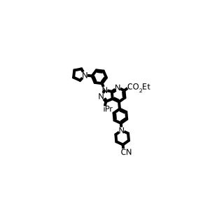 CCOC(=O)c1cc(-c2ccc(N3CCC(C#N)CC3)cc2)c2c(C(C)C)nn(-c3cccc(N4CCCC4)c3)c2n1